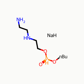 CCCCO[PH](=O)OCCNCCN.[NaH]